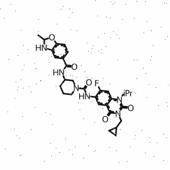 CC1Nc2cc(C(=O)NC3CCCN(C(=O)Nc4cc5c(=O)n(CC6CC6)c(=O)n(C(C)C)c5cc4F)C3)ccc2O1